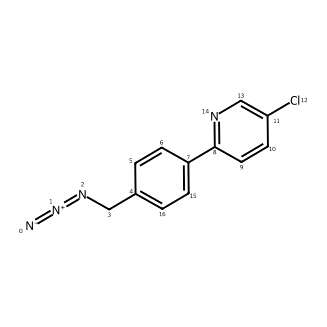 [N-]=[N+]=NCc1ccc(-c2ccc(Cl)cn2)cc1